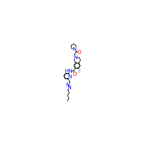 CCCC/C=N/N=C/c1cccc(NC(=O)c2cc3c(cc2F)CCN(CC(=O)N2CCCC2)C3)n1